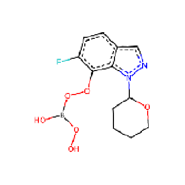 OOB(O)OOc1c(F)ccc2cnn(C3CCCCO3)c12